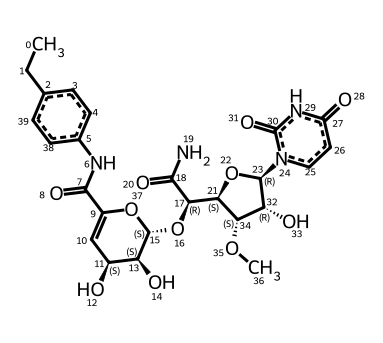 CCc1ccc(NC(=O)C2=C[C@H](O)[C@H](O)[C@@H](O[C@@H](C(N)=O)[C@H]3O[C@@H](n4ccc(=O)[nH]c4=O)[C@H](O)[C@@H]3OC)O2)cc1